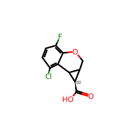 O=C(O)[C@@H]1C2COc3c(F)ccc(Cl)c3C21